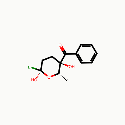 C[C@@H]1O[C@@](O)(Cl)CC[C@]1(O)C(=O)c1ccccc1